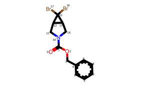 O=C(OCc1ccccc1)N1CC2C(C1)C2(Br)Br